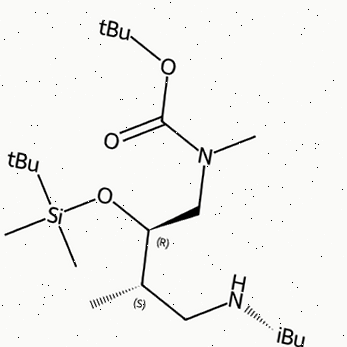 CC[C@@H](C)NC[C@H](C)[C@H](CN(C)C(=O)OC(C)(C)C)O[Si](C)(C)C(C)(C)C